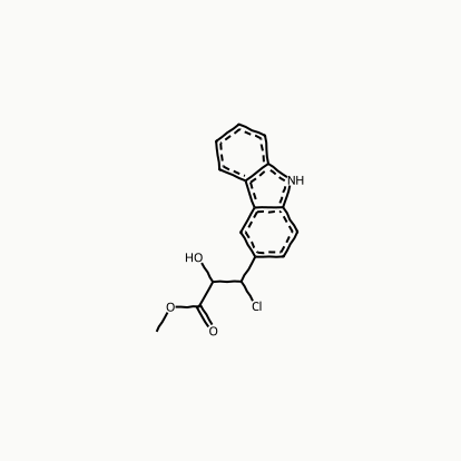 COC(=O)C(O)C(Cl)c1ccc2[nH]c3ccccc3c2c1